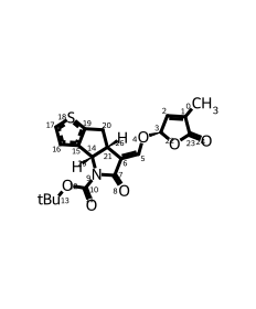 CC1=C[C@H](O/C=C2/C(=O)N(C(=O)OC(C)(C)C)[C@@H]3c4ccsc4C[C@H]23)OC1=O